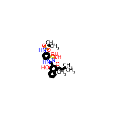 CC(C)CCC1(C)C(=O)C(C2=NS(O)(O)c3cc(NS(=O)(=O)C(C)C)ccc3N2)=C(O)c2ccccc21